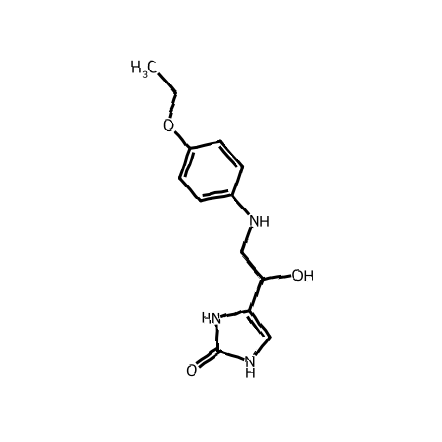 CCOc1ccc(NCC(O)c2c[nH]c(=O)[nH]2)cc1